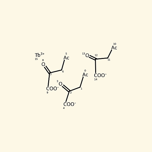 CC(=O)CC(=O)C(=O)[O-].CC(=O)CC(=O)C(=O)[O-].CC(=O)CC(=O)C(=O)[O-].[Tb+3]